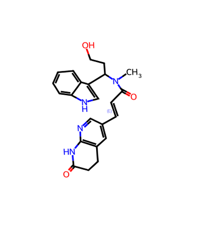 CN(C(=O)/C=C/c1cnc2c(c1)CCC(=O)N2)C(CCO)c1c[nH]c2ccccc12